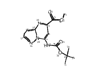 COC(=O)c1cc(NC(=O)OC(C)(C)C)n2nccc2n1